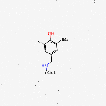 CCCCCCCCNCc1cc(C)c(O)c(C(C)(C)C)c1